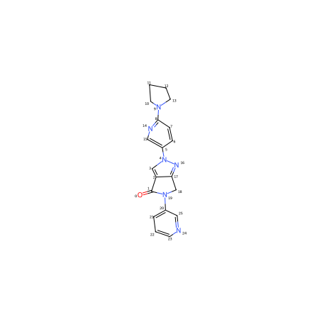 O=C1c2cn(-c3ccc(N4CCCC4)nc3)nc2CN1c1cccnc1